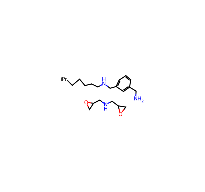 C(NCC1CO1)C1CO1.CC(C)CCCCCNCc1cccc(CN)c1